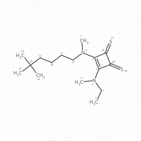 CCN(C)c1c(N(C)CCCCC(C)(C)C)c(=S)c1=S